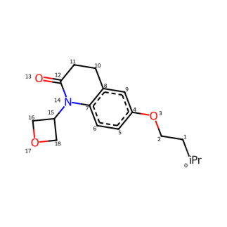 CC(C)CCOc1ccc2c(c1)CCC(=O)N2C1COC1